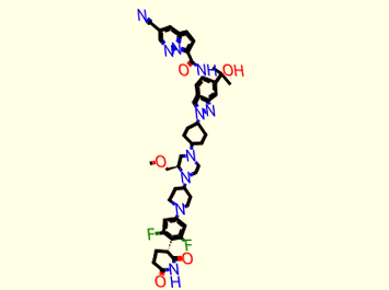 COC[C@H]1CN(C2CCC(n3cc4cc(NC(=O)c5ccc6cc(C#N)cnn56)c(C(C)(C)O)cc4n3)CC2)CCN1C1CCN(c2cc(F)c([C@H]3CCC(=O)NC3=O)c(F)c2)CC1